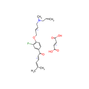 C=CCN(C)C/C=C/COc1ccc(C(=O)/C=C/C=C(C)C)cc1F.O=C(O)/C=C/C(=O)O